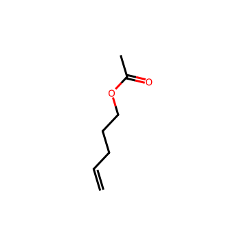 C=CCCCOC(C)=O